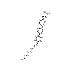 CCCCCCCCCOc1ccc(-c2ncc(-c3ccc(OCC(C)F)cc3)cn2)cc1